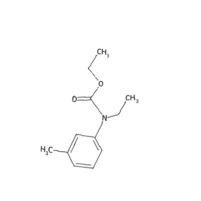 CCOC(=O)N(CC)c1cccc(C)c1